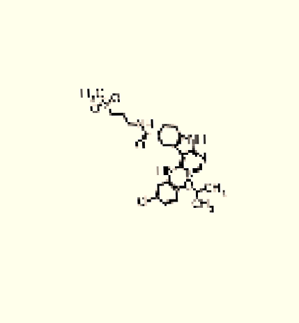 CC(C)Oc1ccc(Cl)cc1Nc1ncnc2[nH]c3c(c12)C[C@@H](C(=O)NCCCS(C)(=O)=O)CC3